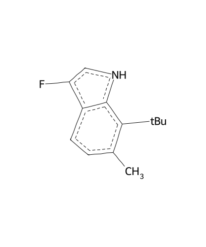 Cc1ccc2c(F)c[nH]c2c1C(C)(C)C